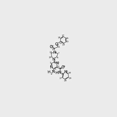 Nc1ncc(N2CCN(C(=O)COc3ccccc3)CC2)nc1C(=O)Nc1ccccn1